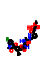 CCOC(=O)/C(O)=C/C(=O)c1cccc(CNC(=O)C(C)NC(=O)CNS(=O)(=O)Cc2cc3oc(-c4ccc(F)cc4)c(C(=O)NC)c3cc2C2CC2)c1